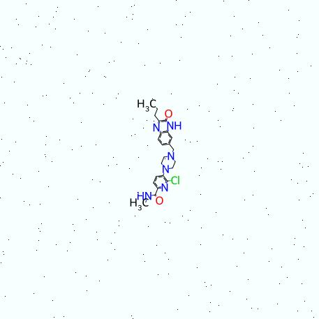 CCCc1nc2ccc(CN3CCN(c4ccc(C(=O)NC)nc4Cl)CC3)cc2[nH]c1=O